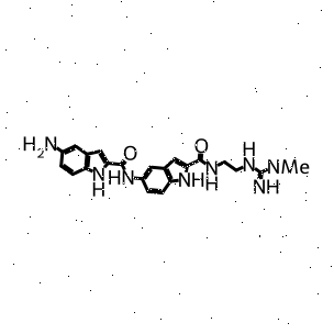 CNC(=N)NCCNC(=O)c1cc2cc(NC(=O)c3cc4cc(N)ccc4[nH]3)ccc2[nH]1